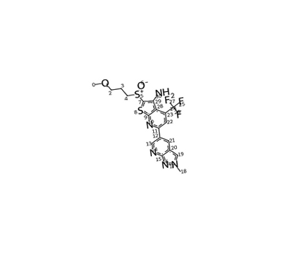 COCCC[S+]([O-])c1sc2nc(-c3cnc4nn(C)cc4c3)cc(C(F)(F)F)c2c1N